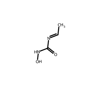 CC=NC(=O)NO